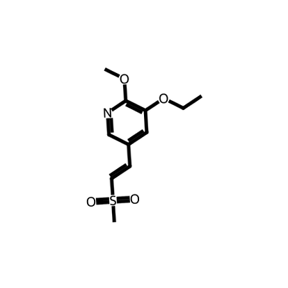 CCOc1cc(C=CS(C)(=O)=O)cnc1OC